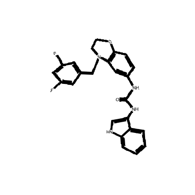 O=C(Nc1ccc2c(c1)N(Cc1cc(F)cc(F)c1)CCO2)Nc1c[nH]c2ccccc12